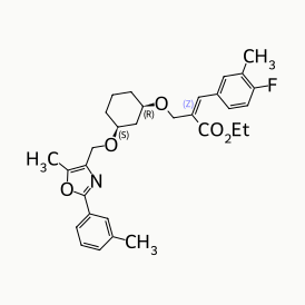 CCOC(=O)/C(=C\c1ccc(F)c(C)c1)CO[C@@H]1CCC[C@H](OCc2nc(-c3cccc(C)c3)oc2C)C1